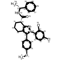 COc1ccc(-c2c3c(nn2-c2ccc(Cl)cc2Cl)[C@@H](C(=O)N[C@H](C)c2ccccc2)CCC3)cc1